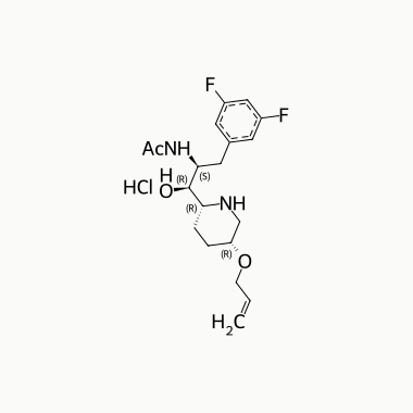 C=CCO[C@@H]1CC[C@H]([C@@H](O)[C@H](Cc2cc(F)cc(F)c2)NC(C)=O)NC1.Cl